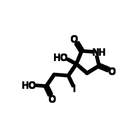 O=C(O)CC(I)C1(O)CC(=O)NC1=O